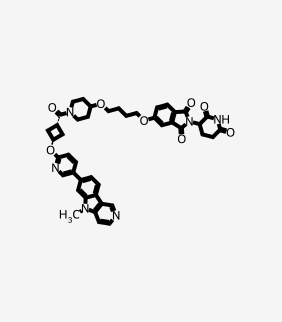 Cn1c2ccncc2c2ccc(-c3ccc(O[C@H]4C[C@@H](C(=O)N5CCC(OCCCCOc6ccc7c(c6)C(=O)N(C6CCC(=O)NC6=O)C7=O)CC5)C4)nc3)cc21